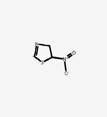 O=[N+]([O-])C1CN=[C]S1